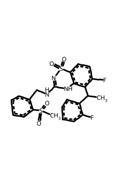 CC(c1ccccc1F)c1c(F)ccc2c1NC(NCc1ccccc1S(C)(=O)=O)=NS2(=O)=O